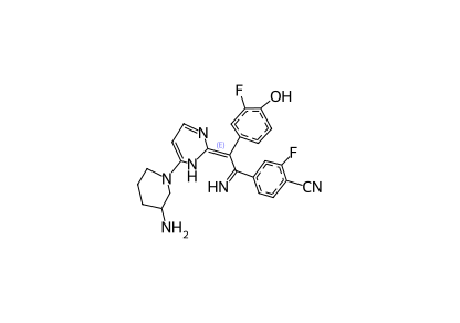 N#Cc1ccc(C(=N)/C(=C2/N=CC=C(N3CCCC(N)C3)N2)c2ccc(O)c(F)c2)cc1F